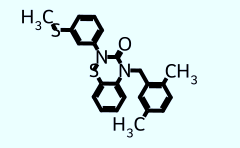 CSc1cccc(N2Sc3ccccc3N(Cc3cc(C)ccc3C)C2=O)c1